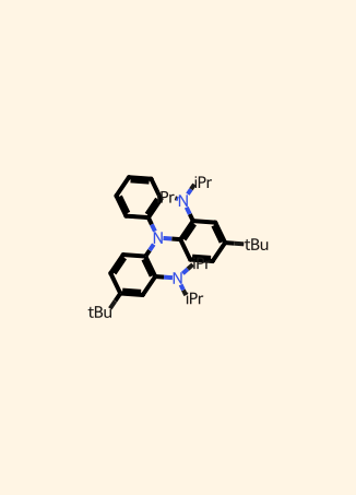 CC(C)N(c1cc(C(C)(C)C)ccc1N(c1ccccc1)c1ccc(C(C)(C)C)cc1N(C(C)C)C(C)C)C(C)C